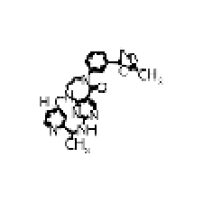 Cc1nnc(-c2cccc(N3CCN(C)c4nc(NC(C)c5ccccn5)ncc4C3=O)c2)o1